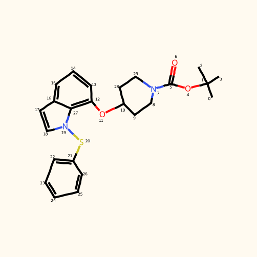 CC(C)(C)OC(=O)N1CCC(Oc2cccc3ccn(Sc4ccccc4)c23)CC1